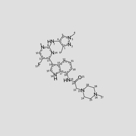 Cc1nn(C)cc1Nc1ncc(F)c(-c2c[nH]c3c(NC(=O)CN4CCN(C)CC4)cccc23)n1